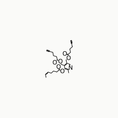 C#CCCCC(=O)OCc1cnc(C)c(OC(=O)CCC/C=C\C)c1COC(=O)CCCC#C